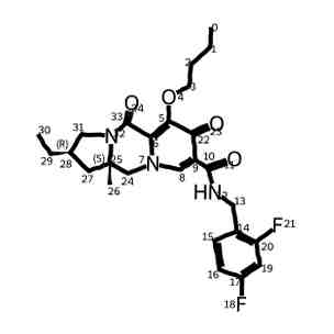 CCCCOc1c2n(cc(C(=O)NCc3ccc(F)cc3F)c1=O)C[C@]1(C)C[C@@H](CC)CN1C2=O